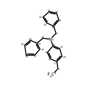 FC(F)(F)Cc1ccc(N(Cc2ccccc2)Cc2ccccc2)cc1